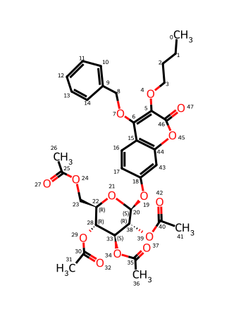 CCCCOc1c(OCc2ccccc2)c2ccc(O[C@@H]3O[C@H](COC(C)=O)[C@@H](OC(C)=O)[C@H](OC(C)=O)[C@H]3OC(C)=O)cc2oc1=O